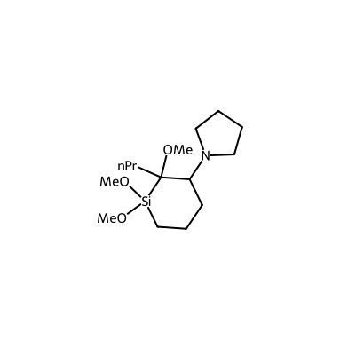 CCCC1(OC)C(N2CCCC2)CCC[Si]1(OC)OC